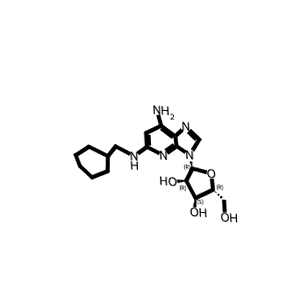 Nc1cc(NCC2CCCCC2)nc2c1ncn2[C@@H]1O[C@H](CO)[C@@H](O)[C@H]1O